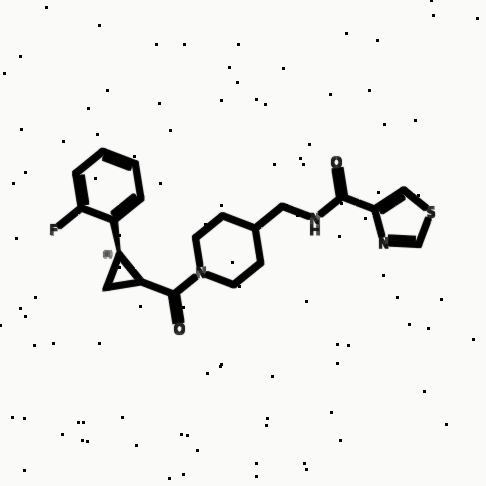 O=C(NCC1CCN(C(=O)C2C[C@H]2c2ccccc2F)CC1)c1cscn1